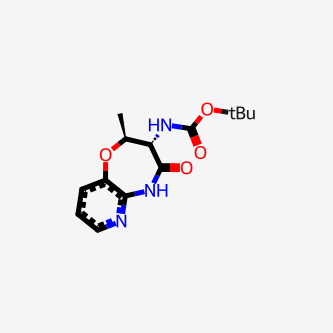 C[C@@H]1Oc2cccnc2NC(=O)[C@H]1NC(=O)OC(C)(C)C